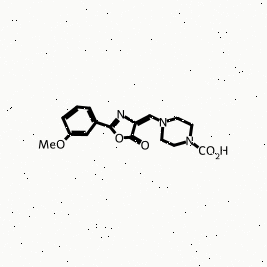 COc1cccc(C2=NC(=CN3CCN(C(=O)O)CC3)C(=O)O2)c1